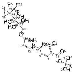 CC(C)(C)OC(=O)c1ccc(N2C=CC(OCC(O)(O)C(O)(O)C3(C(F)(F)F)CC3)N2)nc1Cl